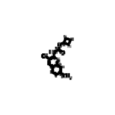 Cc1ccc2cc(Cl)c(NC(=O)OC3CCC3)nc2c1